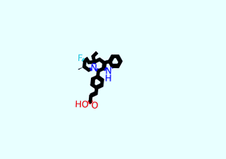 CCC1(CC)Cc2c([nH]c3ccccc23)C(c2ccc(C=CC(=O)O)cc2)N1C[C@H](C)CF